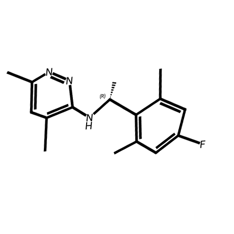 Cc1cc(C)c(N[C@H](C)c2c(C)cc(F)cc2C)nn1